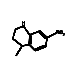 CC1CCNc2cc([N+](=O)[O-])ccc21